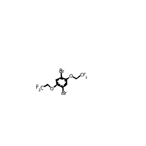 FC(F)(F)COc1cc(Br)c(OCC(F)(F)F)cc1Br